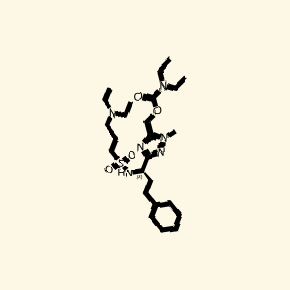 CCN(CC)CCCS(=O)(=O)N[C@H](CCC1CCCCC1)c1nc(COC(=O)N(CC)CC)n(C)n1